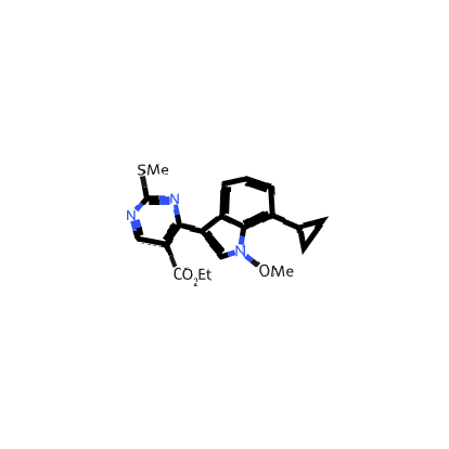 CCOC(=O)c1cnc(SC)nc1-c1cn(OC)c2c(C3CC3)cccc12